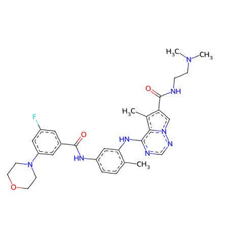 Cc1ccc(NC(=O)c2cc(F)cc(N3CCOCC3)c2)cc1Nc1ncnn2cc(C(=O)NCCN(C)C)c(C)c12